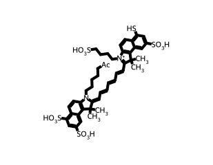 CC(=O)CCCCCN1\C(=C/C=C/C=C/C=C/C2=[N+](CCCCS(=O)(=O)O)c3ccc4c(S)cc(S(=O)(=O)O)cc4c3C2(C)C)C(C)(C)c2c1ccc1c(S(=O)(=O)O)cc(S(=O)(=O)O)cc21